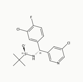 CC(C)(C)[S@@+]([O-])N[C@@H](c1cncc(Cl)c1)c1ccc(F)c(Cl)c1